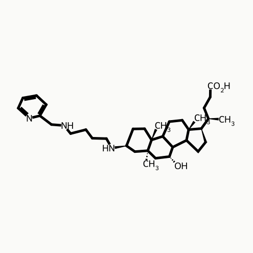 C[C@H](CCC(=O)O)[C@H]1CCC2C3C(CC[C@@]21C)[C@@]1(C)CC[C@H](NCCCCNCc2ccccn2)C[C@]1(C)C[C@H]3O